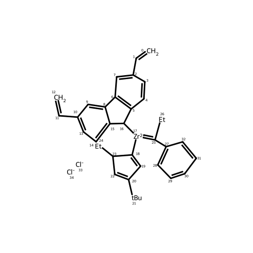 C=Cc1ccc2c(c1)-c1cc(C=C)ccc1[CH]2/[Zr+2]([C]1=CC(C(C)(C)C)=CC1CC)=[C](\CC)c1ccccc1.[Cl-].[Cl-]